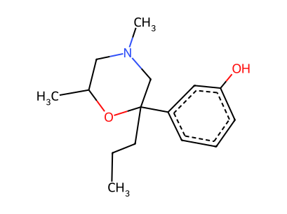 CCCC1(c2cccc(O)c2)CN(C)CC(C)O1